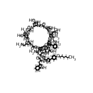 CCCCCCOc1ccc(-c2csc(C(=O)N[C@@H](Cc3c[nH]c4ccccc34)C(=O)N[C@H](CC(N)=O)C(=O)N[C@@H](CC(=O)O)C(=O)N[C@@H]3C(=O)NCC(=O)N[C@@H](CCCN)C(=O)N[C@@H](CC(=O)O)C(=O)N[C@H](C)C(=O)N[C@@H](CC(=O)O)C(=O)NCC(=O)N[C@H](CO)C(=O)NC([C@H](C)CC(=O)O)C(=O)N[C@@H](CC(=O)c4ccccc4N)C(=O)O[C@@H]3C)c2)cc1